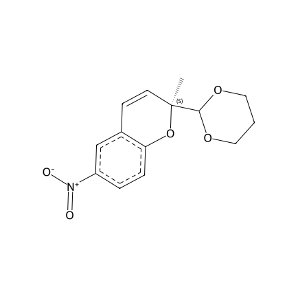 C[C@@]1(C2OCCCO2)C=Cc2cc([N+](=O)[O-])ccc2O1